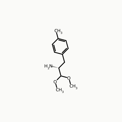 COC(OC)[C@H](N)Cc1ccc(C)cc1